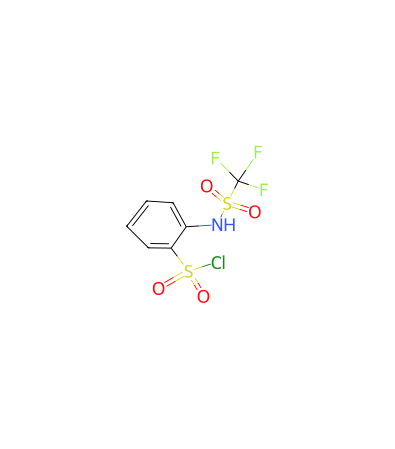 O=S(=O)(Cl)c1ccccc1NS(=O)(=O)C(F)(F)F